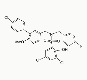 COc1ccc(CN(Cc2ccc(F)cc2)S(=O)(=O)c2cc(Cl)cc(Cl)c2O)cc1-c1ccc(Cl)cc1